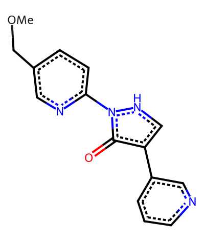 COCc1ccc(-n2[nH]cc(-c3cccnc3)c2=O)nc1